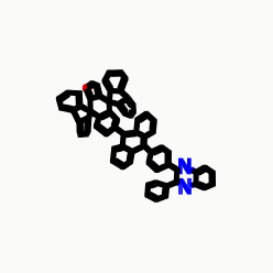 c1ccc(-c2nc3ccccc3nc2-c2ccc(-c3c4ccccc4c(-c4ccc5c(c4)C4(c6ccccc6-c6ccccc64)c4ccccc4C54c5ccccc5-c5ccccc54)c4ccccc34)cc2)cc1